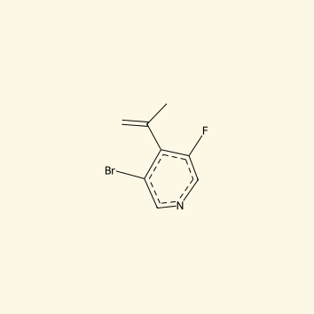 C=C(C)c1c(F)cncc1Br